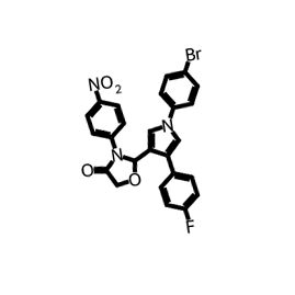 O=C1COC(c2cn(-c3ccc(Br)cc3)cc2-c2ccc(F)cc2)N1c1ccc([N+](=O)[O-])cc1